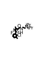 Cc1ccc(F)c(-c2nc(C)c(C(=O)NCCN(C(C)C)C(C)C)s2)c1Cl